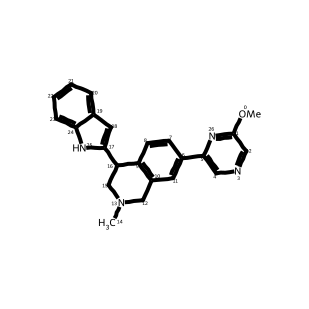 COc1cncc(-c2ccc3c(c2)CN(C)CC3c2cc3ccccc3[nH]2)n1